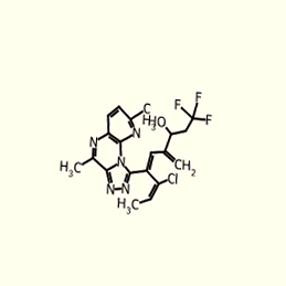 C=C(/C=C(\C(Cl)=C/C)c1nnc2c(C)nc3ccc(C)nc3n12)C(O)CC(F)(F)F